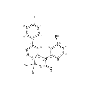 Cc1ncc(-c2ccc(C(C)(C)C)c(N(C=O)c3ccnc(F)c3)c2)cn1